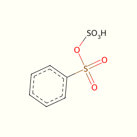 O=S(=O)(O)OS(=O)(=O)c1ccccc1